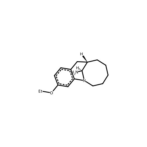 CCOc1ccc2c(c1)N1CCCCC[C@@H](C2)[C@@H]1N